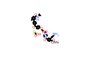 COC(=O)c1ccc(C(=O)N2CCN(C(=O)OCCOc3ccc(C(=O)c4ccc(-c5cc(C(=O)NC6CC6)ccc5C)cc4)cc3)CC2)cc1C#CCN.O=C(O)C(F)(F)F